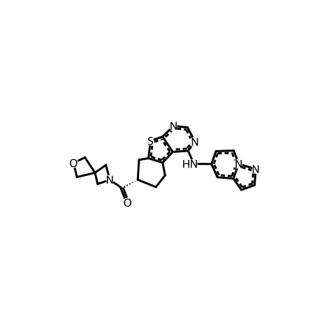 O=C([C@H]1CCc2c(sc3ncnc(Nc4ccn5nccc5c4)c23)C1)N1CC2(COC2)C1